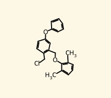 Cc1cccc(C)c1OCc1cc(Oc2ccccc2)ccc1CCl